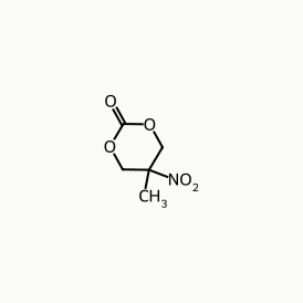 CC1([N+](=O)[O-])COC(=O)OC1